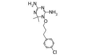 CC1(C)N=C(N)N=C(N)N1OCCCc1ccc(Cl)cc1